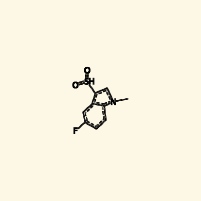 Cn1cc([SH](=O)=O)c2cc(F)ccc21